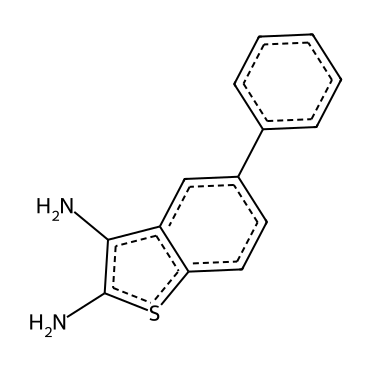 Nc1sc2ccc(-c3ccccc3)cc2c1N